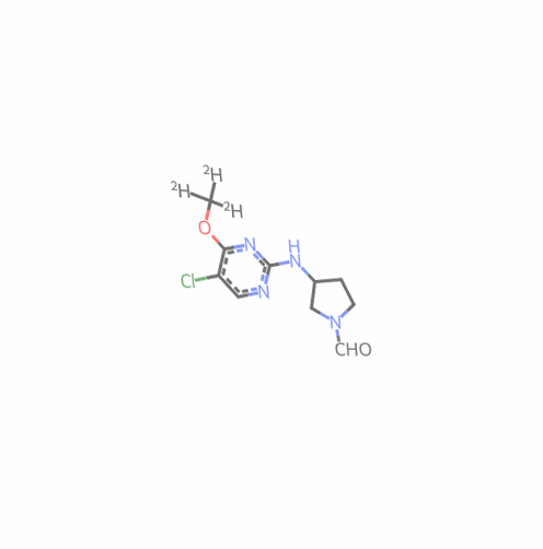 [2H]C([2H])([2H])Oc1nc(NC2CCN(C=O)C2)ncc1Cl